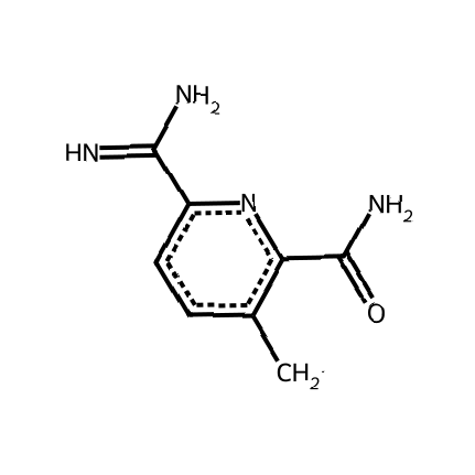 [CH2]c1ccc(C(=N)N)nc1C(N)=O